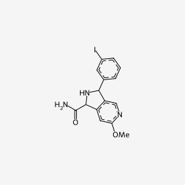 COc1cc2c(cn1)C(c1cccc(I)c1)NC2C(N)=O